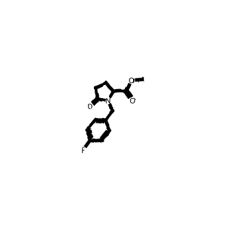 COC(=O)C1CCC(=O)N1Cc1ccc(F)cc1